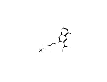 CNC(=O)c1cc2c(Cl)ccnc2cc1OCCO[Si](C)(C)C(C)(C)C